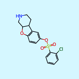 O=S(=O)(Oc1ccc2c(c1)C1CCNCC1O2)c1ccccc1Cl